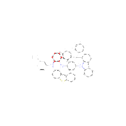 CC1C=C(N(c2ccccc2)c2ccc3sc4ccccc4c3c2N(c2ccccc2)c2ccc3c(c2)C2(c4ccccc4-c4ccccc42)c2cccc4c5ccccc5n-3c24)C=CC1